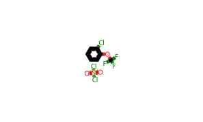 FC(F)(F)Oc1ccccc1Cl.O=S(=O)(Cl)Cl